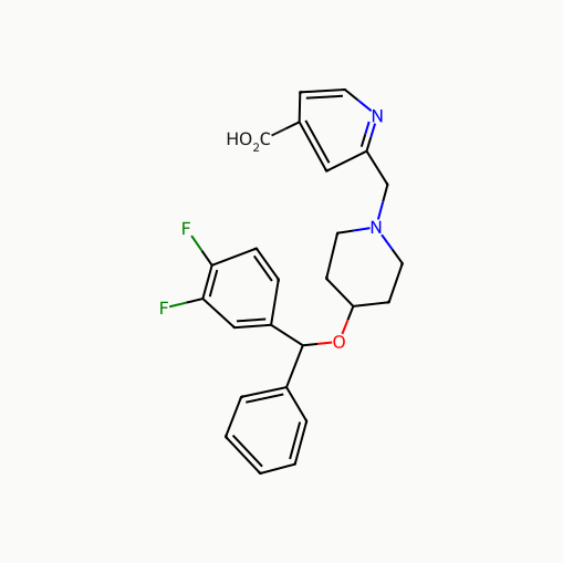 O=C(O)c1ccnc(CN2CCC(OC(c3ccccc3)c3ccc(F)c(F)c3)CC2)c1